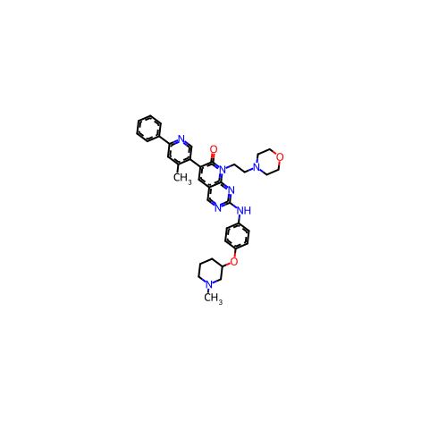 Cc1cc(-c2ccccc2)ncc1-c1cc2cnc(Nc3ccc(OC4CCCN(C)C4)cc3)nc2n(CCN2CCOCC2)c1=O